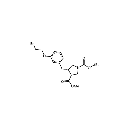 COC(=O)C1CN(C(=O)OC(C)(C)C)C[C@H]1Cc1cccc(OCCBr)c1